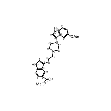 COC(=O)c1ccc2[nH]cc(CCCN3CCC(c4c[nH]c5ccc(OC)cc45)CC3)c2c1